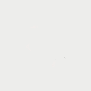 COC(=O)Cc1cccc(OCCC(C)O)c1